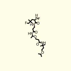 CC(C)OCCC(C)(C)NC(=O)CCOC(C)NC(=O)CCNC(=O)C(BF)CC(C)(C)CF